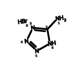 Br.Nc1nnn[nH]1